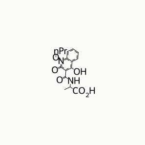 CCCOn1c(=O)c(C(=O)NC(C)C(=O)O)c(O)c2ccccc21